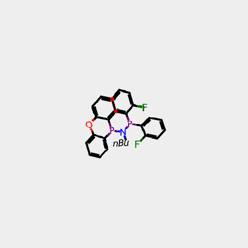 CCCCN(P(c1ccccc1F)c1ccccc1F)P1c2ccccc2Oc2ccccc21